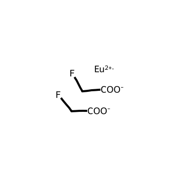 O=C([O-])CF.O=C([O-])CF.[Eu+2]